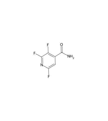 NC(=O)c1cc(F)nc(F)c1F